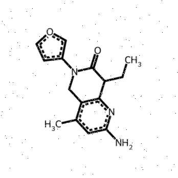 CCC1C(=O)N(c2ccoc2)Cc2c(C)cc(N)nc21